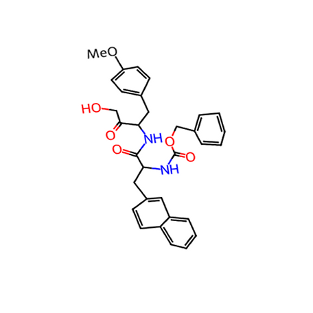 COc1ccc(CC(NC(=O)C(Cc2ccc3ccccc3c2)NC(=O)OCc2ccccc2)C(=O)CO)cc1